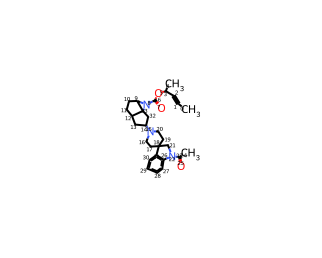 CC#CC(C)OC(=O)N1C2CCC3CC(N4CCC5(CC4)CN(C(C)=O)c4ccccc45)CC321